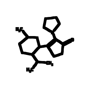 CC1CCC(C(C)C)C(C2=C(N3CCCC3)C(=O)CC2)C1